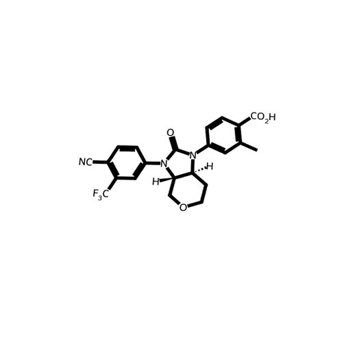 Cc1cc(N2C(=O)N(c3ccc(C#N)c(C(F)(F)F)c3)[C@H]3COCC[C@@H]32)ccc1C(=O)O